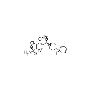 CC(C)Oc1c(C(=O)N2CCC(C3(F)C=CC=CC3)CC2)cnc(S(N)(=O)=O)c1Cl